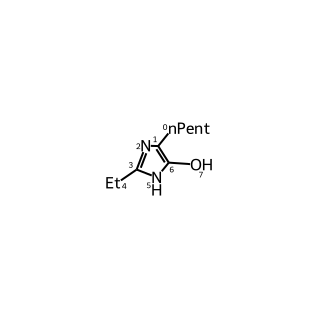 CCCCCc1nc(CC)[nH]c1O